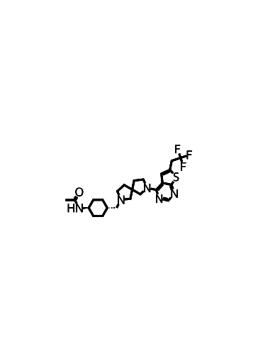 CC(=O)N[C@H]1CC[C@H](CN2CCC3(CCN(c4ncnc5sc(CC(F)(F)F)cc45)C3)C2)CC1